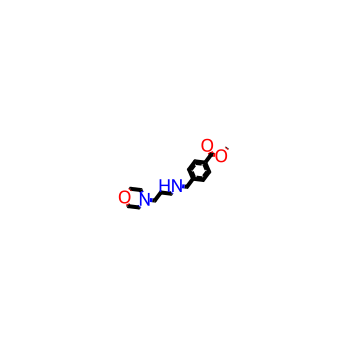 COC(=O)c1ccc(CNCCCN2CCOCC2)cc1